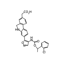 CC(OC(=O)Nc1cnoc1-c1ccc2c(c1)NCc1cc(CC(=O)O)ccc1-2)c1ccccc1Cl